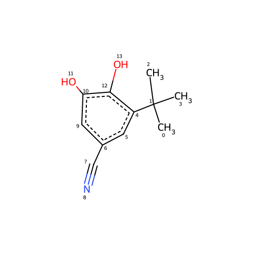 CC(C)(C)c1cc(C#N)cc(O)c1O